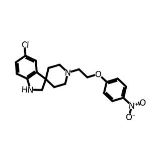 O=[N+]([O-])c1ccc(OCCN2CCC3(CC2)CNc2ccc(Cl)cc23)cc1